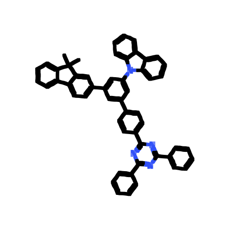 CC1(C)c2ccccc2-c2ccc(-c3cc(-c4ccc(-c5nc(-c6ccccc6)nc(-c6ccccc6)n5)cc4)cc(-n4c5ccccc5c5ccccc54)c3)cc21